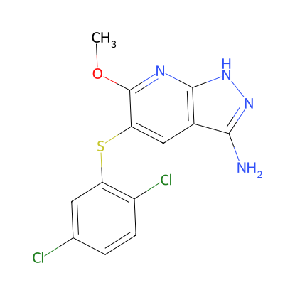 COc1nc2[nH]nc(N)c2cc1Sc1cc(Cl)ccc1Cl